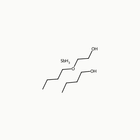 CCCCO.CCCCOCCO.[SbH3]